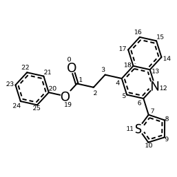 O=C(CCc1cc(-c2cccs2)nc2ccccc12)Oc1ccccc1